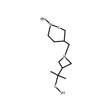 CC(C)(SS)C1CN(CC2CCN(C(C)(C)C)CC2)C1